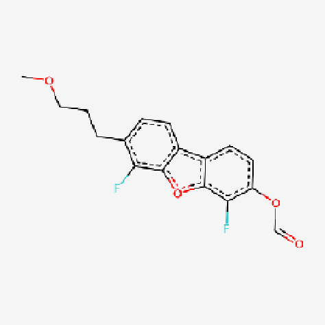 COCCCc1ccc2c(oc3c(F)c(OC=O)ccc32)c1F